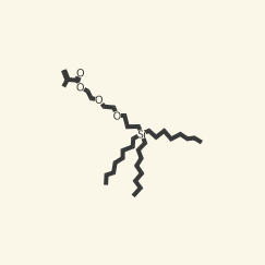 C=C(C)C(=O)OCCOCCOCCC[Si](CCCCCCCC)(CCCCCCCC)CCCCCCCC